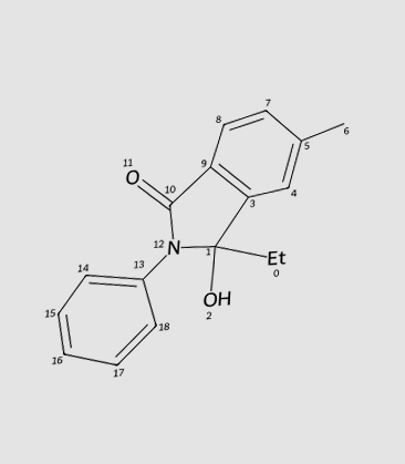 CCC1(O)c2cc(C)ccc2C(=O)N1c1ccccc1